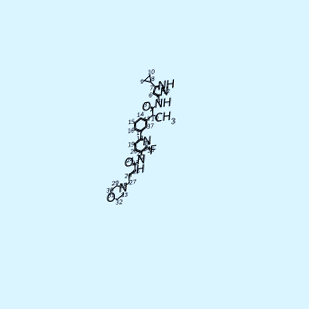 CC(C(=O)Nc1cc(C2CC2)[nH]n1)c1cccc(-c2ccc(NC(=O)C=CCN3CCOCC3)c(F)n2)c1